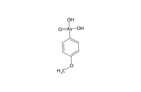 COc1ccc([As](=O)(O)O)cc1